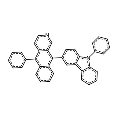 c1ccc(-c2c3ccccc3c(-c3ccc4c(c3)c3ccccc3n4-c3ccccc3)c3cnccc23)cc1